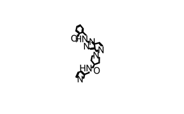 O=C(NCc1cccnc1)C1CCN(c2nccc3nc(NCc4ccccc4Cl)ncc23)CC1